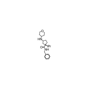 CC(C)[C@]1(C(=O)NCc2ccccc2)CCC(NC2CCOCC2)C1